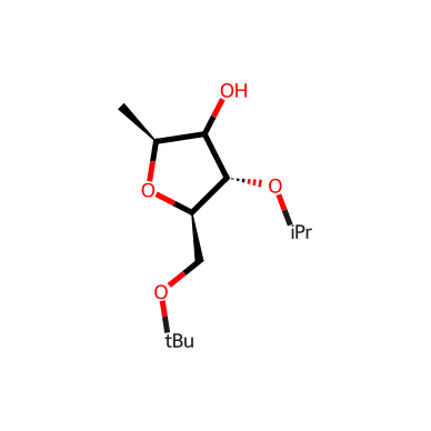 CC(C)O[C@H]1C(O)[C@H](C)O[C@@H]1COC(C)(C)C